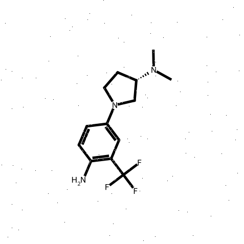 CN(C)[C@H]1CCN(c2ccc(N)c(C(F)(F)F)c2)C1